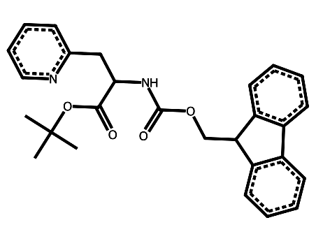 CC(C)(C)OC(=O)C(Cc1ccccn1)NC(=O)OCC1c2ccccc2-c2ccccc21